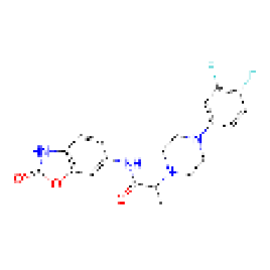 CC(C(=O)Nc1ccc2[nH]c(=O)oc2c1)N1CCN(c2ccc(F)c(F)c2)CC1